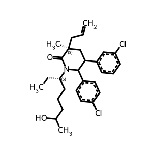 C=CC[C@@]1(C)CC(c2cccc(Cl)c2)C(c2ccc(Cl)cc2)N([C@@H](CC)CCCC(C)O)C1=O